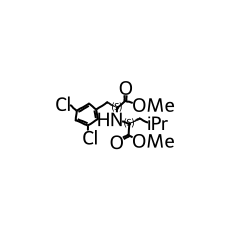 COC(=O)[C@H](Cc1cc(Cl)cc(Cl)c1)N[C@@H](CC(C)C)C(=O)OC